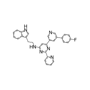 Fc1ccc(-c2cncc(-c3cc(NCCc4c[nH]c5ccccc45)nc(-c4ccccn4)n3)c2)cc1